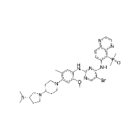 COc1cc(N2CCC(N3CC[C@H](N(C)C)C3)CC2)c(C)cc1Nc1ncc(Br)c(Nc2ccc3nccnc3c2P(C)(C)=O)n1